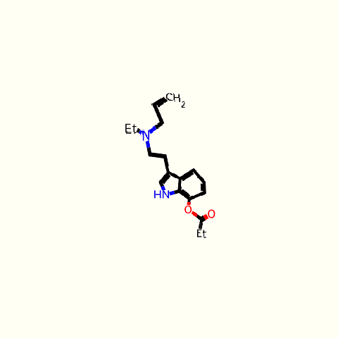 C=CCN(CC)CCc1c[nH]c2c(OC(=O)CC)cccc12